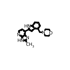 Cc1nc2c(-c3cc4c(CN5CCOCC5)cccc4[nH]3)ccnc2[nH]1